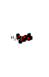 C[Si]1(C)c2ccccc2-c2ccc(N(c3ccccc3)c3ccc4ccc5c(N(c6ccccc6)c6cccc7ccccc67)ccc6ccc3c4c65)cc21